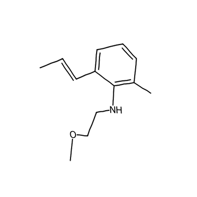 CC=Cc1cccc(C)c1NCCOC